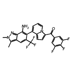 Cc1c2cc(C(F)(F)F)c(-c3cccn4c(C(=O)c5cc(F)c(F)c(F)c5)ccc34)c(N)c2nn1C